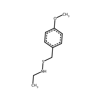 CCNSCc1ccc(OC)cc1